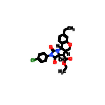 CCOC(=O)[C@@H]1[C@H]2COc3cc(CC)ccc3[C@@H]2N2C(=O)N(c3ccc(Cl)cc3)C(=O)[C@@]12C